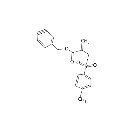 C=C(CS(=O)(=O)c1ccc(C)cc1)C(=O)OCc1cc#ccc1